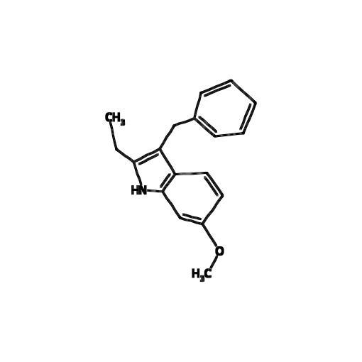 CCc1[nH]c2cc(OC)ccc2c1Cc1ccccc1